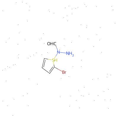 NN(C=O)[SH]1C=CC=C1Br